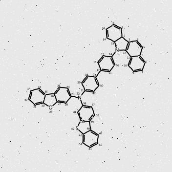 C1=CC2c3ccc4ccccc4c3N(c3ccc(-c4ccc(N(c5ccc6c(c5)oc5ccccc56)c5ccc6c(c5)sc5ccccc56)cc4)cc3)C2C=C1